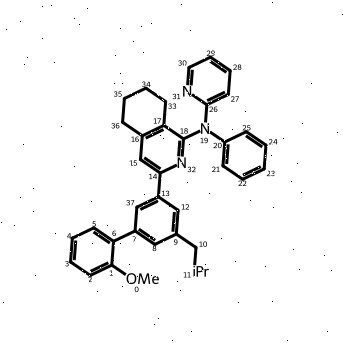 COc1ccccc1-c1cc(CC(C)C)cc(-c2cc3c(c(N(c4ccccc4)c4ccccn4)n2)CCCC3)c1